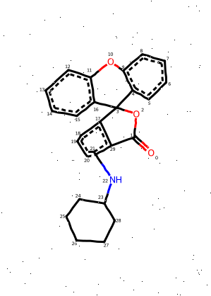 O=C1OC2(c3ccccc3Oc3ccccc32)c2cccc(NC3CCCCC3)c21